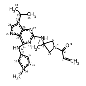 C=CC(=O)N1CC(C)(Nc2nc(Nc3cnn(C)c3)c3ncn(C(C)C)c3n2)C1